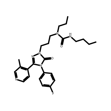 CCCCNC(=O)N(CCC)CCCn1nc(-c2ccncc2C)n(-c2ccc(F)cc2)c1=O